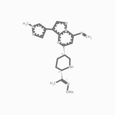 C=Nc1cc([C@H]2CC[C@@H](/C(C)=N/OC)NC2)nc2c(-c3cnn(C)c3)cnn12